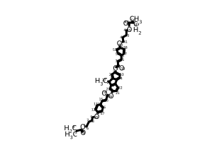 C=C(C)C(=O)OCCCCOc1ccc(C=CC(=O)Oc2ccc3c(c2)C(C)c2cc(OC(=O)C=Cc4ccc(OCCCCOC(=O)C(=C)C)cc4)ccc2-3)cc1